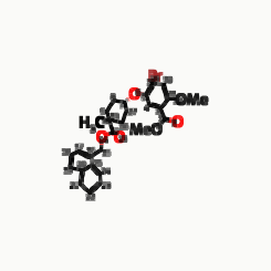 COC(=O)c1cc(O[C@H]2CC[C@@](C)(C(=O)OCc3cccc4ccccc34)CC2)c(Br)cc1OC